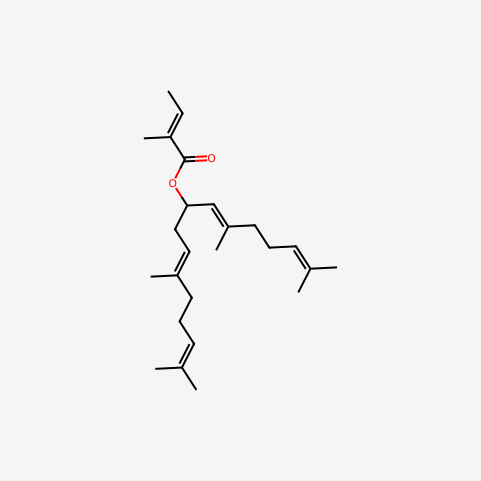 C/C=C(\C)C(=O)OC(/C=C(\C)CCC=C(C)C)C/C=C(\C)CCC=C(C)C